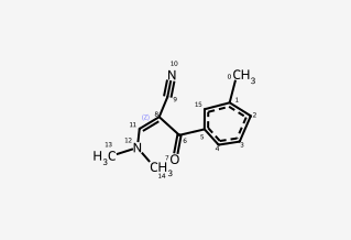 Cc1cccc(C(=O)/C(C#N)=C\N(C)C)c1